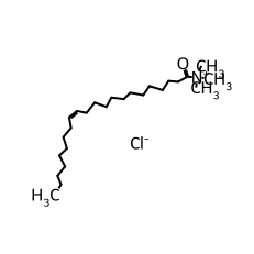 CCCCCCCC/C=C\CCCCCCCCCCCC(=O)[N+](C)(C)C.[Cl-]